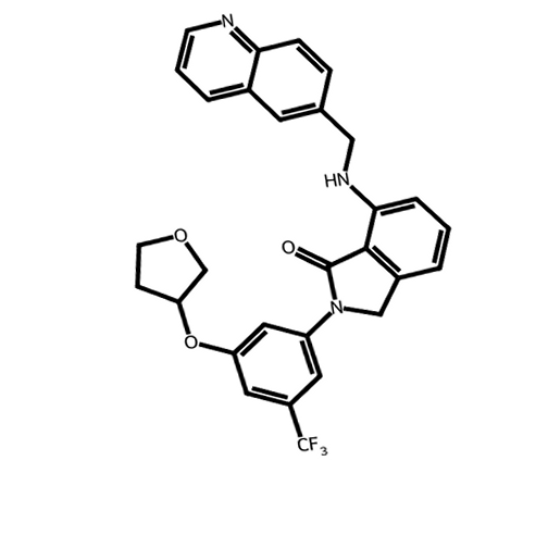 O=C1c2c(cccc2NCc2ccc3ncccc3c2)CN1c1cc(OC2CCOC2)cc(C(F)(F)F)c1